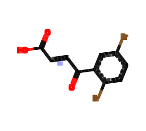 O=C(O)/C=C/C(=O)c1cc(Br)ccc1Br